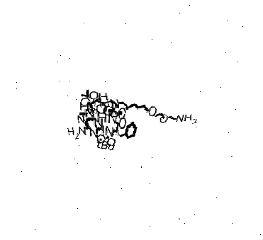 CC(C)(C)OC(=O)N[C@@H](Cc1ccccc1)C(=O)NS(=O)(=O)N(CCCCCCOCCOCCN)C[C@H]1O[C@@H](n2cnc3c(N)ncnc32)[C@@H]2OC(C)(C)O[C@@H]21